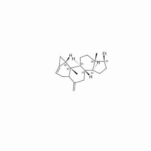 C=C1C[C@H]2[C@@H]3CC[C@H](CC)[C@@]3(C)CC[C@@H]2[C@]2(C)C1CC=C1C[C@@H]12